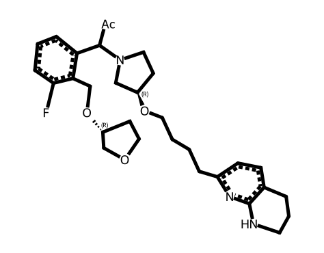 CC(=O)C(c1cccc(F)c1CO[C@@H]1CCOC1)N1CC[C@@H](OCCCCc2ccc3c(n2)NCCC3)C1